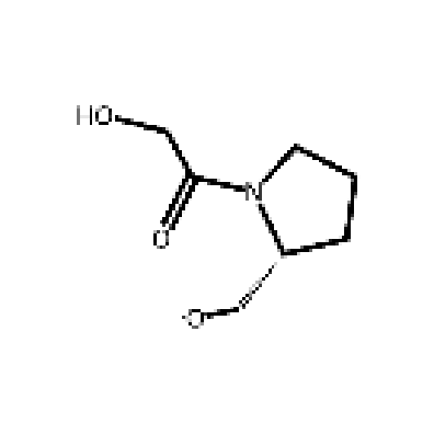 [O]C[C@H]1CCCN1C(=O)CO